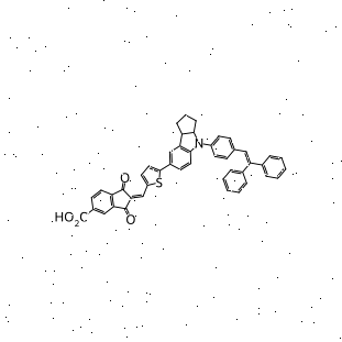 O=C(O)c1ccc2c(c1)C(=O)/C(=C/c1ccc(-c3ccc4c(c3)C3CCCC3N4c3ccc(C=C(c4ccccc4)c4ccccc4)cc3)s1)C2=O